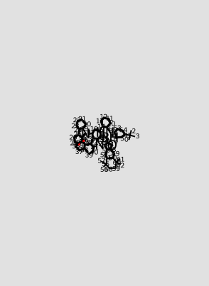 CC(C)(C)c1ccc(Nc2ccccc2-c2cc(-n3c4ccccc4c4ccccc43)c3c4c5ccccc5ccc4n4c3c2Bc2oc3cc5c(cc3c2-4)C(C)(C)CCC5(C)C)cc1